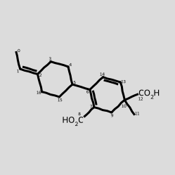 CC=C1CCC(C2=C(C(=O)O)CC(C)(C(=O)O)C=C2)CC1